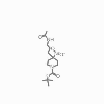 CC(=O)NCCCC1([N+](=O)[O-])CCN(C(=O)OC(C)(C)C)CC1